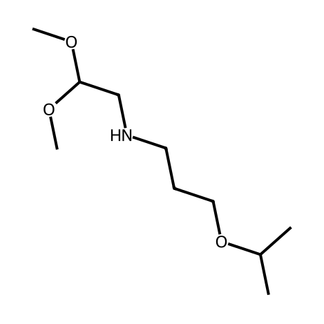 COC(CNCCCOC(C)C)OC